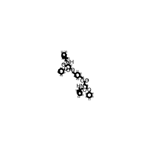 CC1(CNC(CC(=O)OC2CCCCC2)C(=O)OCC2CCC(COC(=O)CC(NCC3(C)CC4CCC3C4)C(=O)OC3CCCCC3)CC2)CC2CCC1C2